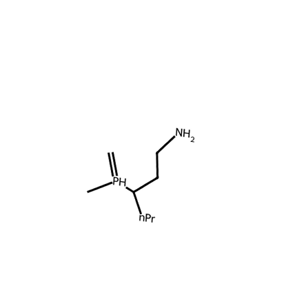 C=[PH](C)C(CCC)CCN